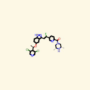 C[C@@H]1CN(C(=O)c2ccc(/C(F)=C/c3n[nH]c4ccc(O[C@H](C)c5c(Cl)cncc5Cl)cc34)cn2)C[C@H](C)N1